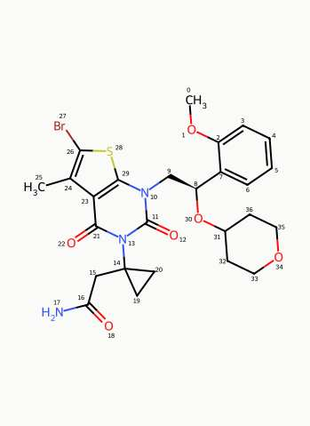 COc1ccccc1[C@H](Cn1c(=O)n(C2(CC(N)=O)CC2)c(=O)c2c(C)c(Br)sc21)OC1CCOCC1